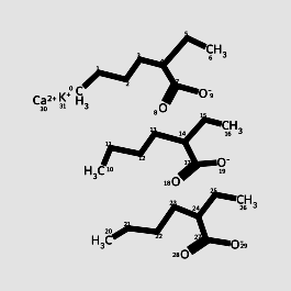 CCCCC(CC)C(=O)[O-].CCCCC(CC)C(=O)[O-].CCCCC(CC)C(=O)[O-].[Ca+2].[K+]